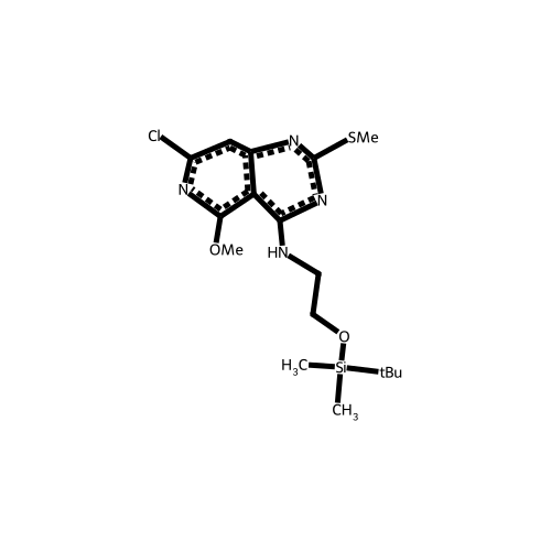 COc1nc(Cl)cc2nc(SC)nc(NCCO[Si](C)(C)C(C)(C)C)c12